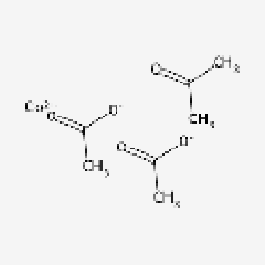 CC(=O)[O-].CC(=O)[O-].CC(C)=O.[Co+2]